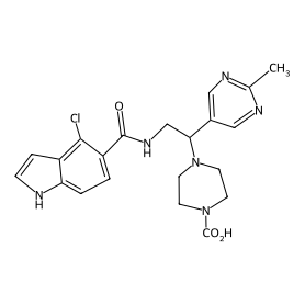 Cc1ncc(C(CNC(=O)c2ccc3[nH]ccc3c2Cl)N2CCN(C(=O)O)CC2)cn1